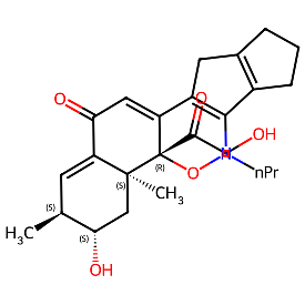 CCCN1O[C@@]2(C(=O)CO)C(=CC(=O)C3=C[C@H](C)[C@@H](O)C[C@@]32C)C2=C1C1=C(CCC1)C2